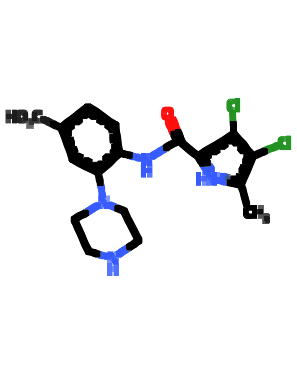 Cc1[nH]c(C(=O)Nc2ccc(C(=O)O)cc2N2CCNCC2)c(Cl)c1Cl